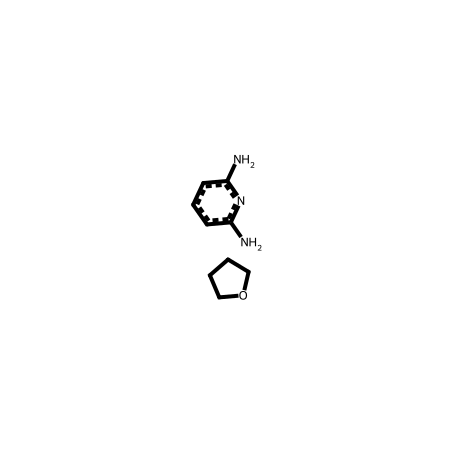 C1CCOC1.Nc1cccc(N)n1